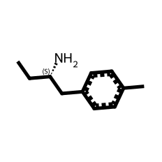 CC[C@H](N)Cc1ccc(C)cc1